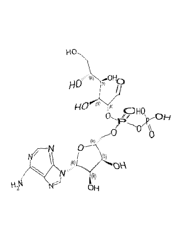 Nc1ncnc2c1ncn2[C@@H]1O[C@H](COP(=O)(O[C@@H](C=O)[C@@H](O)[C@H](O)[C@H](O)CO)OP(=O)(O)O)[C@@H](O)[C@H]1O